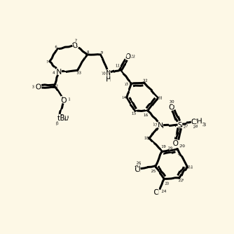 CC(C)(C)OC(=O)N1CCOC(CNC(=O)c2ccc(N(Cc3cccc(Cl)c3Cl)S(C)(=O)=O)cc2)C1